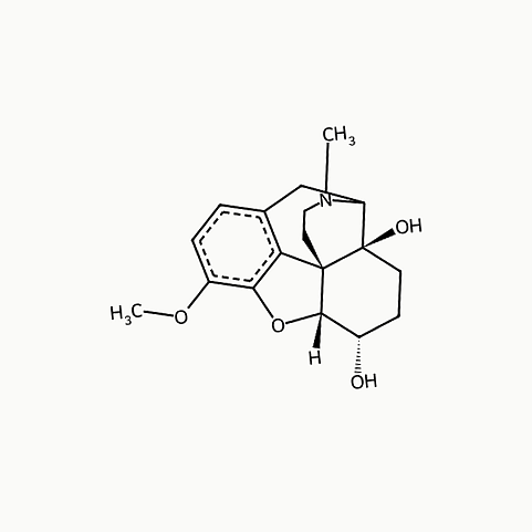 COc1ccc2c3c1O[C@H]1[C@@H](O)CC[C@@]4(O)C(C2)N(C)CC[C@]314